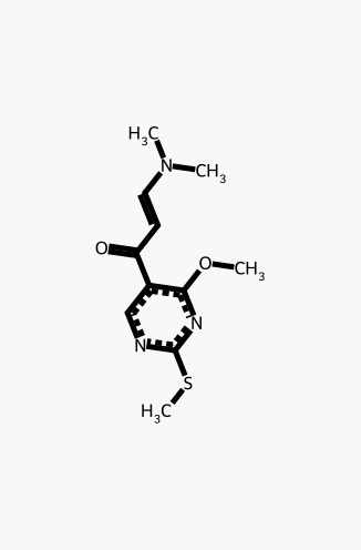 COc1nc(SC)ncc1C(=O)C=CN(C)C